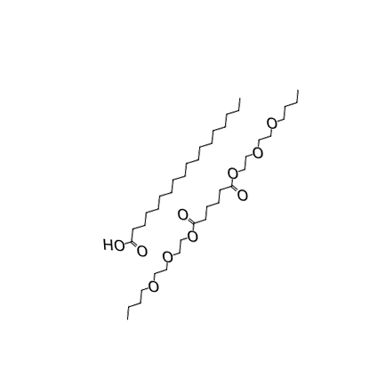 CCCCCCCCCCCCCCCCCC(=O)O.CCCCOCCOCCOC(=O)CCCCC(=O)OCCOCCOCCCC